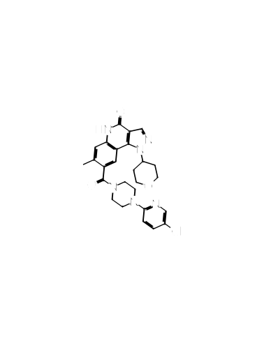 Cc1cc2[nH]c(=O)c3cnn(C4CCOCC4)c3c2cc1C(=O)N1CCN(c2ccc(Cl)cn2)CC1